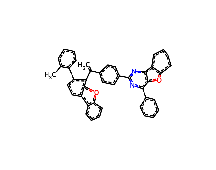 C=C(c1ccc(-c2nc(-c3ccccc3)c3oc4ccccc4c3n2)cc1)c1c(-c2ccccc2C)ccc2c1oc1ccccc12